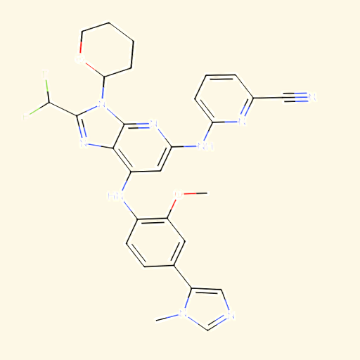 COc1cc(-c2cncn2C)ccc1Nc1cc(Nc2cccc(C#N)n2)nc2c1nc(C(F)F)n2C1CCCCO1